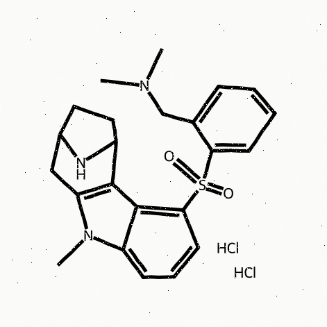 CN(C)Cc1ccccc1S(=O)(=O)c1cccc2c1c1c(n2C)CC2CCC1N2.Cl.Cl